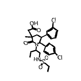 CCC(CNS(=O)(=O)CC)N1C(=O)C(C)(CC(=O)O)CC(c2cccc(Cl)c2)C1c1ccc(Cl)cc1